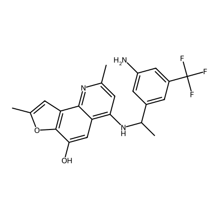 Cc1cc(NC(C)c2cc(N)cc(C(F)(F)F)c2)c2cc(O)c3oc(C)cc3c2n1